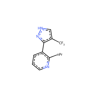 CCCc1ncccc1-c1n[nH]cc1C(F)(F)F